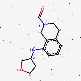 O=CN1CCc2cccc(NC3CCOC3)c2C1